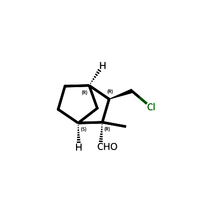 C[C@@]1(C=O)[C@H]2CC[C@H](C2)[C@H]1CCl